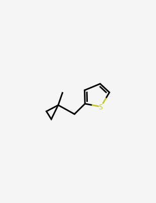 CC1(Cc2cccs2)CC1